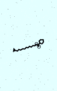 O=C(OCCCCCCCCCCCC1CC1)C1CCCCC1